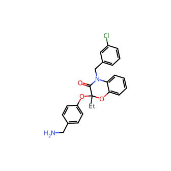 CCC1(Oc2ccc(CN)cc2)Oc2ccccc2N(Cc2cccc(Cl)c2)C1=O